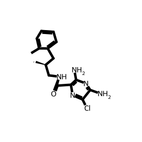 [CH2][C@H](CNC(=O)c1nc(Cl)c(N)nc1N)Cc1ccccc1C